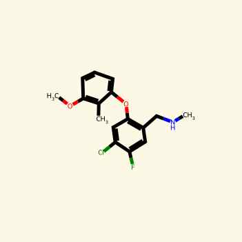 CNCc1cc(F)c(Cl)cc1Oc1cccc(OC)c1C